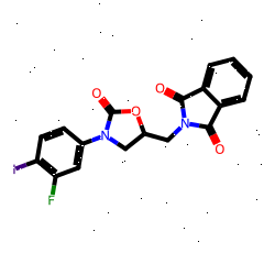 O=C1c2ccccc2C(=O)N1CC1CN(c2ccc(I)c(F)c2)C(=O)O1